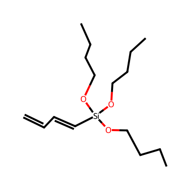 C=C/C=C/[Si](OCCCC)(OCCCC)OCCCC